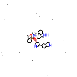 CN(CC(Cc1c[nH]c2ccccc12)Oc1cncc(-c2ccc3cnccc3c2)c1)S(=O)(=O)c1ccccc1[N+](=O)[O-]